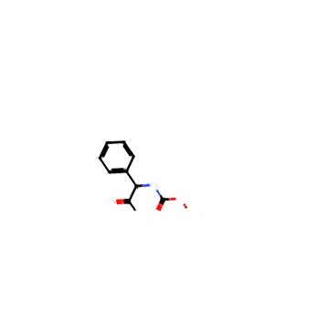 COC(=O)NC(C(C)=O)c1ccccc1